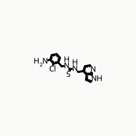 Nc1cccc(CNC(=S)NCc2ccnc3[nH]ccc23)c1Cl